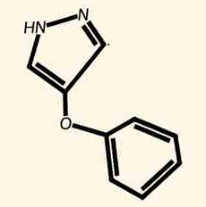 [c]1n[nH]cc1Oc1ccccc1